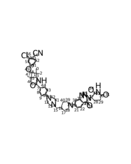 CC1(C)[C@H](NC(=O)c2ccc(N3CCN(CC4CCN(c5ccc6c(=O)n(C7CCC(=O)NC7=O)nnc6c5)CC4)CC3)cc2)C(C)(C)[C@H]1Oc1ccc(C#N)c(Cl)c1